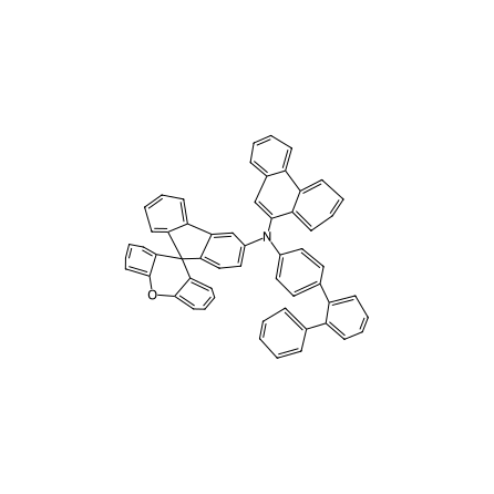 c1ccc(-c2ccccc2-c2ccc(N(c3ccc4c(c3)-c3ccccc3C43c4ccccc4Oc4ccccc43)c3cc4ccccc4c4ccccc34)cc2)cc1